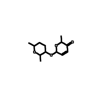 CC1CCC(OC2C=CC(=O)C(C)O2)C(C)O1